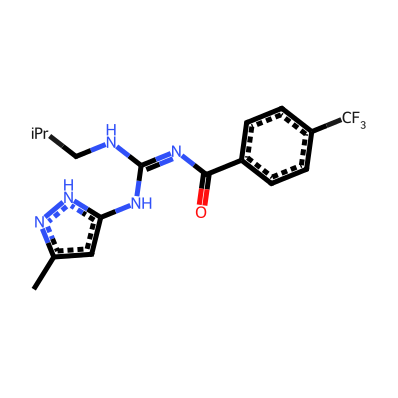 Cc1cc(N/C(=N\C(=O)c2ccc(C(F)(F)F)cc2)NCC(C)C)[nH]n1